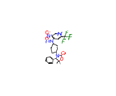 CC1(C)OC(=O)N(C2CCC(Nc3cc(C(F)(F)F)ncc3[N+](=O)[O-])CC2)C1c1ccccc1